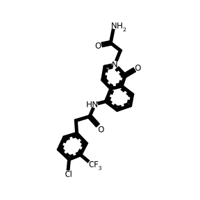 NC(=O)Cn1ccc2c(NC(=O)Cc3ccc(Cl)c(C(F)(F)F)c3)cccc2c1=O